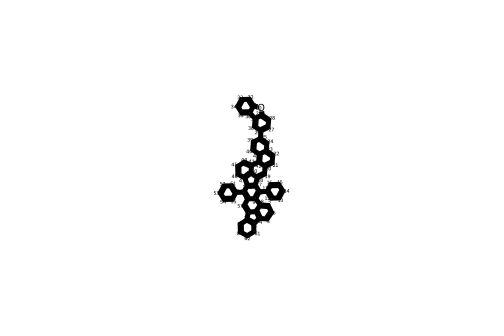 C1=Cc2c(c3cccc4c5c(-c6ccccc6)c6c7cc8ccc9cc(-c%10ccc%11oc%12ccccc%12c%11c%10)ccc9c8c8cccc(c6c(-c6ccccc6)c5cc2c34)c78)CC1